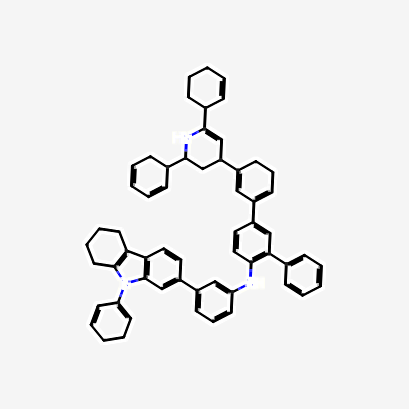 C1=CCC(C2CC(C3=CC(c4ccc(Nc5cccc(-c6ccc7c8c(n(C9=CCCC=C9)c7c6)CCCC8)c5)c(-c5ccccc5)c4)=CCC3)C=C(C3C=CCCC3)N2)C=C1